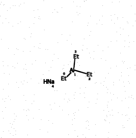 C[CH2][Al]([CH2]C)[CH2]C.[NaH]